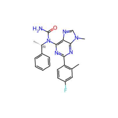 Cc1cc(F)ccc1-c1nc(N(C(N)=O)[C@@H](C)c2ccccc2)c2ncn(C)c2n1